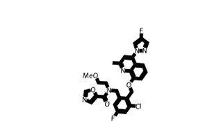 COCCN(Cc1cc(F)cc(Cl)c1COc1cccc2c(-n3cc(F)cn3)cc(C)nc12)C(=O)c1cnco1